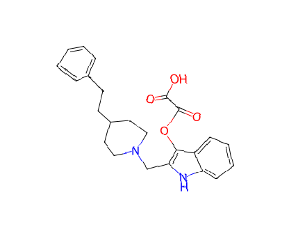 O=C(O)C(=O)Oc1c(CN2CCC(CCc3ccccc3)CC2)[nH]c2ccccc12